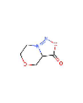 O=C1ON=[N+]2CCOCC12